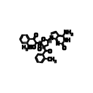 Cc1ccccc1C(=O)C(O)[C@H]1O[C@@H](n2ccc3c(N)[nH]c(=O)nc32)C[C@@]1(O)C(=O)c1ccccc1C